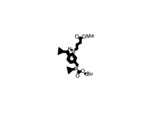 COC(=O)CCCn1nc(C2CC2)c2ccc(CN(C(=O)OC(C)(C)C)C3CC3)cc21